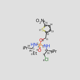 CC[C@@H](NP(=O)(N[C@H](CCl)C(C)C)OCc1ccc([N+](=O)[O-])s1)C(C)C